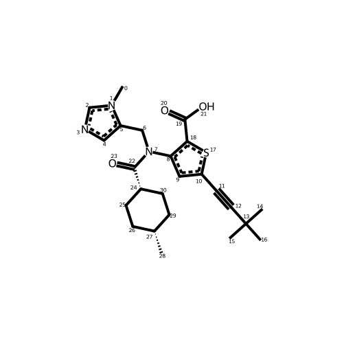 Cn1cncc1CN(c1cc(C#CC(C)(C)C)sc1C(=O)O)C(=O)[C@H]1CC[C@@H](C)CC1